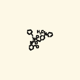 CCN(c1ccccc1)c1ccc(/C=C2/O/C(=N\c3ccccc3C=O)N(CCc3ccccc3)C2=O)cc1